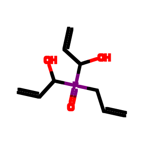 C=CCP(=O)(C(O)C=C)C(O)C=C